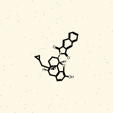 O=C1c2cc3ccccc3cc2C(=O)N1[C@@H]1CC[C@@]2(O)[C@H]3Cc4ccc(O)c5c4[C@@]2(CCN3CC2CC2)[C@H]1O5